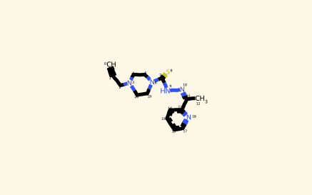 C#CCN1CCN(C(=S)N/N=C(/C)c2ccccn2)CC1